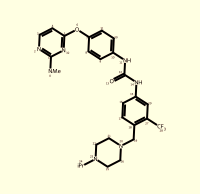 CNc1nccc(Oc2ccc(NC(=O)Nc3ccc(CN4CCN(C(C)C)CC4)c(C(F)(F)F)c3)cc2)n1